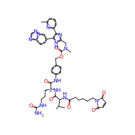 Cc1cccc(-c2nc(CN(C)C(=O)OCc3ccc(NC(=O)[C@H](CCCNC(N)=O)NC(=O)C(NC(=O)CCCCCN4C(=O)C=CC4=O)C(C)C)cc3)[nH]c2-c2ccc3ncnn3c2)n1